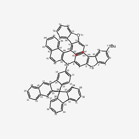 CC(C)(C)c1ccc2sc3cc(N(c4ccc5c(c4)-c4cc6ccccc6cc4C54c5ccccc5-c5ccccc54)c4ccc5ccccc5c4C4=c5c(oc6ccccc56)=CCC4)c#cc3c2c1